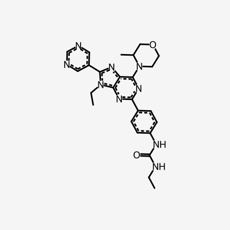 CCNC(=O)Nc1ccc(-c2nc(N3CCOCC3C)c3nc(-c4cncnc4)n(CC)c3n2)cc1